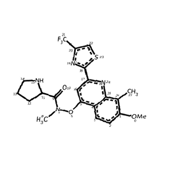 COc1ccc2c(ON(C)C(=O)C3CCCN3)cc(-c3nc(C(F)(F)F)cs3)nc2c1C